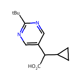 CC(C)(C)c1ncc(C(C(=O)O)C2CC2)cn1